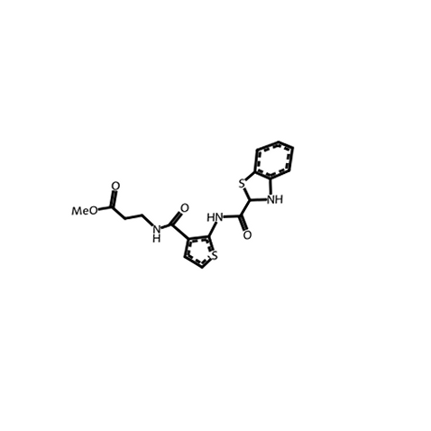 COC(=O)CCNC(=O)c1ccsc1NC(=O)C1Nc2ccccc2S1